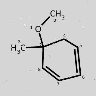 COC1(C)[CH]C=CC=C1